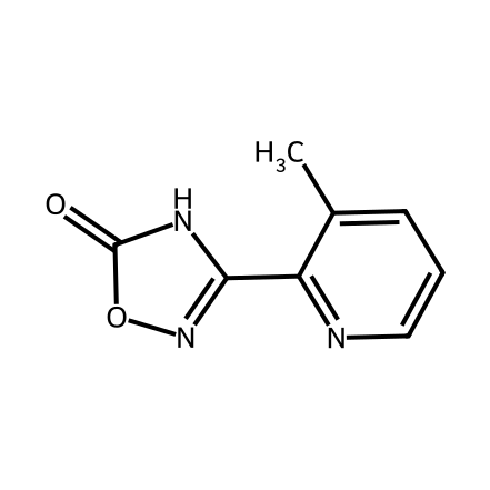 Cc1cccnc1-c1noc(=O)[nH]1